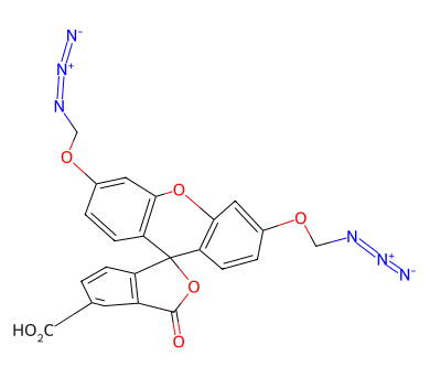 [N-]=[N+]=NCOc1ccc2c(c1)Oc1cc(OCN=[N+]=[N-])ccc1C21OC(=O)c2cc(C(=O)O)ccc21